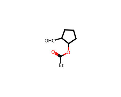 CCC(=O)OC1CCCC1C=O